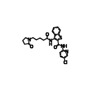 O=C(CCCCN1CCCC1=O)Nc1c(C(=O)Nc2ccc(Cl)cn2)sc2ccccc12